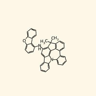 CC1(C)c2cccc3c2-c2c1c(Nc1cccc4oc5ccccc5c14)cc1c4ccccc4n(c21)-c1ccccc1-3